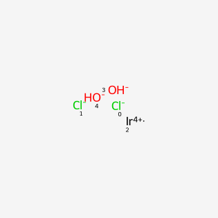 [Cl-].[Cl-].[Ir+4].[OH-].[OH-]